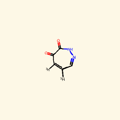 [2H]c1cn[nH]c(=O)c(=O)c1[2H]